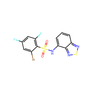 O=S(=O)(Nc1cccc2nsnc12)c1c(F)cc(F)cc1Br